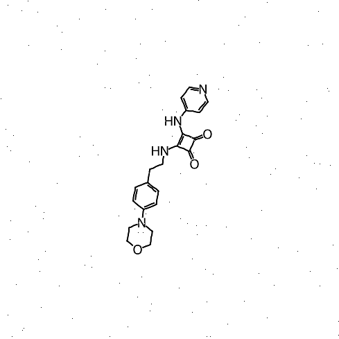 O=c1c(NCCc2ccc(N3CCOCC3)cc2)c(Nc2ccncc2)c1=O